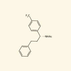 CC(=O)N[C@H](CCc1ccccc1)c1ccc(C(F)(F)F)cc1